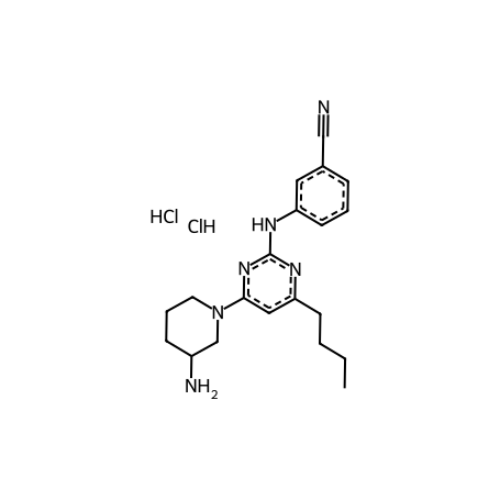 CCCCc1cc(N2CCCC(N)C2)nc(Nc2cccc(C#N)c2)n1.Cl.Cl